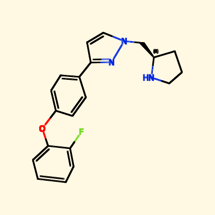 Fc1ccccc1Oc1ccc(-c2ccn(C[C@H]3CCCN3)n2)cc1